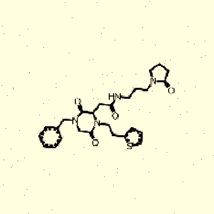 O=C(CC1C(=O)N(Cc2ccccc2)CC(=O)N1CCc1cccs1)NCCCN1CCCC1=O